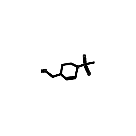 CS(=O)(=O)N1C=CC(CO)CC1